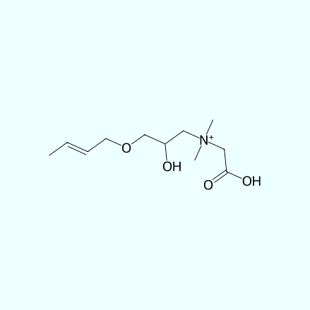 C/C=C/COCC(O)C[N+](C)(C)CC(=O)O